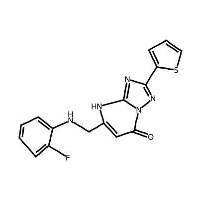 O=c1cc(CNc2ccccc2F)[nH]c2nc(-c3cccs3)nn12